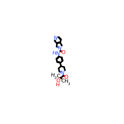 CC(C)(O)C(=O)N1CCC(c2ccc(NC(=O)N3Cc4ccncc4C3)cc2)CC1